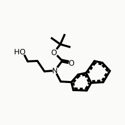 CC(C)(C)OC(=O)N(CCCO)Cc1ccc2ccccc2c1